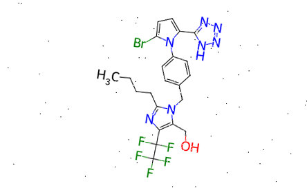 CCCCc1nc(C(F)(F)C(F)(F)F)c(CO)n1Cc1ccc(-n2c(Br)ccc2-c2nnn[nH]2)cc1